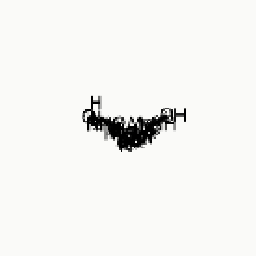 COc1nc(-c2ccnc(-c3cccc(Nc4nccc(CNCCO)c4F)c3C)c2Cl)ccc1CNCC1CCC(=O)N1